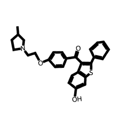 CC1CCN(CCOc2ccc(C(=O)c3c(-c4ccccc4)sc4cc(O)ccc34)cc2)C1